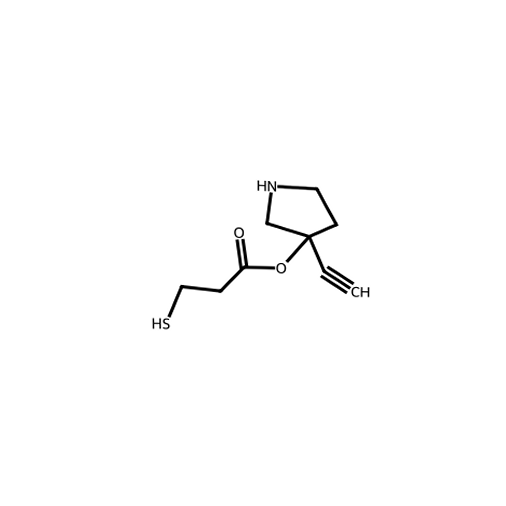 C#CC1(OC(=O)CCS)CCNC1